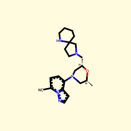 C[C@@H]1CN(c2ccc(C#N)n3nccc23)C[C@H](CN2CCC3(CCCCN3)C2)O1